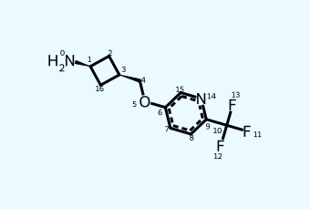 N[C@H]1C[C@@H](COc2ccc(C(F)(F)F)nc2)C1